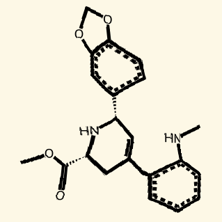 CNc1ccccc1C1=C[C@@H](c2ccc3c(c2)OCO3)N[C@@H](C(=O)OC)C1